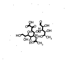 CC(=O)N[C@@H]([C@@H](O)[C@H](O)[C@H](O)CO)[C@@H](O)CC(=O)C(=O)O.C[C@H](O)[C@@H](O)[C@@H](O)[C@H](O)C=O